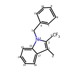 Cc1c(C(F)(F)F)n(Cc2ccccc2)c2ccccc12